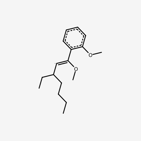 CCCCC([C]=C(OC)c1ccccc1OC)CC